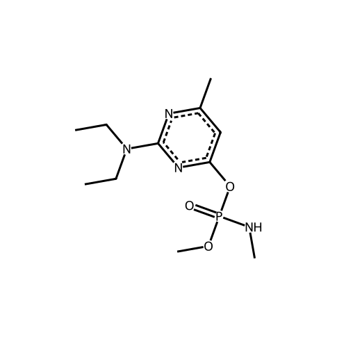 CCN(CC)c1nc(C)cc(OP(=O)(NC)OC)n1